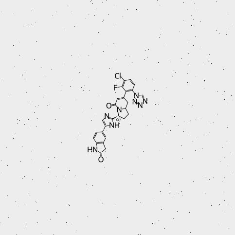 O=C1Cc2cc(-c3cnc([C@@H]4CCC5CC(c6c(-n7cnnn7)ccc(Cl)c6F)=CC(=O)N54)[nH]3)ccc2N1